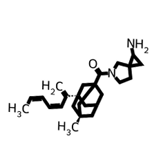 C=C(/C=C\C=C/C)[C@]12CC3CC(C(=O)N4CCC5(CC5N)C4)(C[C@](C)(C3)C1)C2